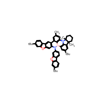 Cc1cc2c3c(c1)N1c4c(cc(C(C)(C)C)cc4C4(C)CCCCC14C)B3N(c1ccc3c(c1)oc1cc(C(C)(C)C)ccc13)c1cc3oc4cc(C(C)(C)C)ccc4c3cc1-2